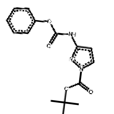 CC(C)(C)OC(=O)n1ccc(NC(=O)Oc2ccccc2)n1